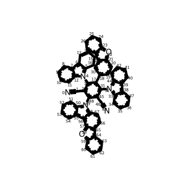 N#Cc1c(-n2c3c(c4ccccc42)C=CCC3)c(-c2ccc3oc4ccccc4c3c2)c(-n2c3ccccc3c3ccccc32)c(C#N)c1-n1c2ccccc2c2c3oc4ccccc4c3ccc21